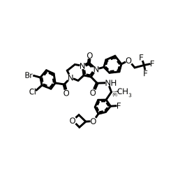 C[C@@H](NC(=O)c1c2n(c(=O)n1-c1ccc(OCC(F)(F)F)cc1)CCN(C(=O)c1ccc(Br)c(Cl)c1)C2)c1ccc(OC2COC2)cc1F